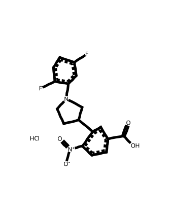 Cl.O=C(O)c1ccc([N+](=O)[O-])c(C2CCN(c3cc(F)ccc3F)C2)c1